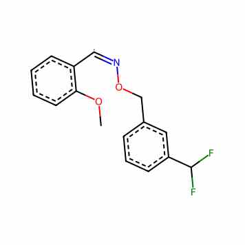 COc1ccccc1/[C]=N\OCc1cccc(C(F)F)c1